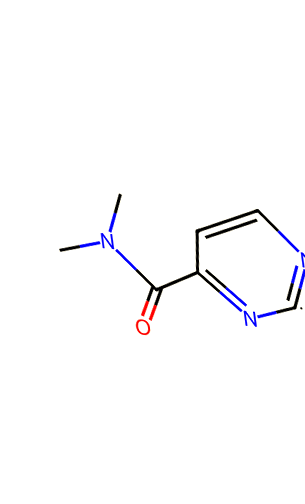 CN(C)C(=O)c1ccn[c]n1